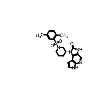 Cc1ccc(C)c(S(=O)(=O)N2CCC[C@@H](n3c(=O)[nH]c4cnc5[nH]ccc5c43)C2)c1